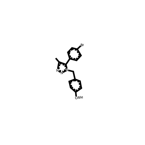 COc1ccc(Cn2nnc(C)c2-c2ccc(Br)cc2)cc1